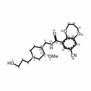 CO[C@@H]1CN(CCCO)CC[C@H]1CNC(=O)c1cc(C#N)cc2c1OCCCO2